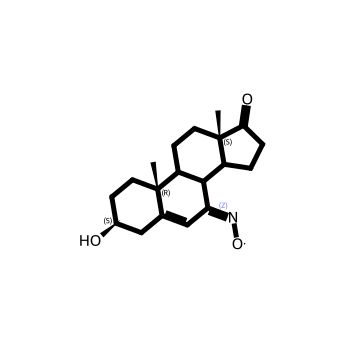 C[C@]12CC[C@H](O)CC1=C/C(=N\[O])C1C2CC[C@]2(C)C(=O)CCC12